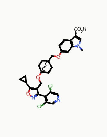 Cn1cc(C(=O)O)c2ccc(OCC34CCC(OCc5c(-c6c(Cl)cncc6Cl)noc5C5CC5)(CC3)CC4)cc21